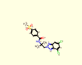 CC(C#N)(Cn1nc2cc(Cl)cc(Cl)c2n1)NC(=O)c1ccc(S(=O)(=O)C(F)(F)F)cc1